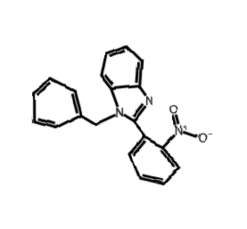 O=[N+]([O-])c1ccccc1-c1nc2ccccc2n1Cc1ccccc1